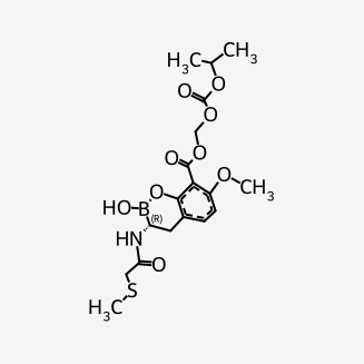 COc1ccc2c(c1C(=O)OCOC(=O)OC(C)C)OB(O)[C@@H](NC(=O)CSC)C2